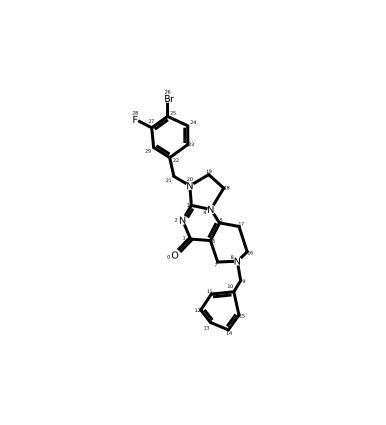 O=c1nc2n(c3c1CN(Cc1ccccc1)CC3)CCN2Cc1ccc(Br)c(F)c1